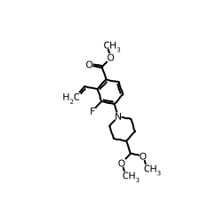 C=Cc1c(C(=O)OC)ccc(N2CCC(C(OC)OC)CC2)c1F